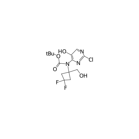 CC(C)(C)OC(=O)N(c1nc(Cl)ncc1O)C1(CO)CC(F)(F)C1